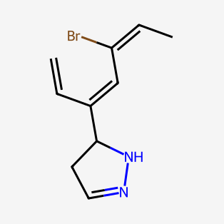 C=C/C(=C\C(Br)=C/C)C1CC=NN1